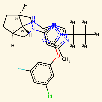 [2H]C([2H])([2H])C([2H])([2H])n1nc(N[C@@H]2[C@@H]3CC[C@H]2CN(c2cc(C)ncn2)C3)nc1Oc1cc(F)cc(Cl)c1